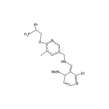 CCC1=NC=CC(NC)/C1=C\NCc1cnc(OCC(P)C(C)C)c(C)c1